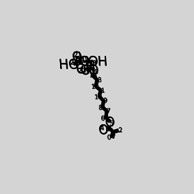 C=C(C)C(=O)OCCCCCCCCCOP(=O)(O)OP(=O)(O)O